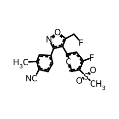 Cc1cc(-c2noc(CF)c2-c2ccc(S(C)(=O)=O)c(F)c2)ccc1C#N